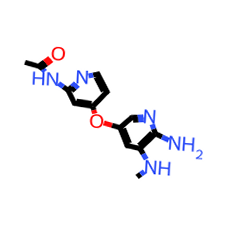 CNc1cc(Oc2ccnc(NC(C)=O)c2)cnc1N